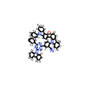 N#Cc1cc(-c2nc(-c3ccccc3)nc(-n3c4ccccc4c4ccccc43)n2)ccc1-n1c2ccccc2c2ccc3oc4c(ccc5c4c4ccccc4n5-c4ccccc4)c3c21